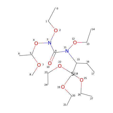 CCON(OC(C)OC)C(=O)N(OCC)C(CC)[Si](OCC)(OCC)OCC